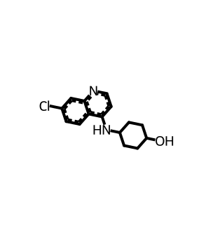 OC1CCC(Nc2ccnc3cc(Cl)ccc23)CC1